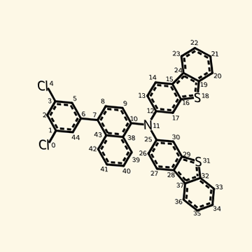 Clc1cc(Cl)cc(-c2ccc(N(c3ccc4c(c3)sc3ccccc34)c3ccc4c(c3)sc3ccccc34)c3ccccc23)c1